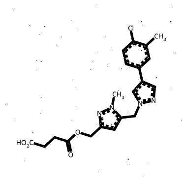 Cc1cc(-c2cnn(Cc3cc(COC(=O)CCC(=O)O)nn3C)c2)ccc1Cl